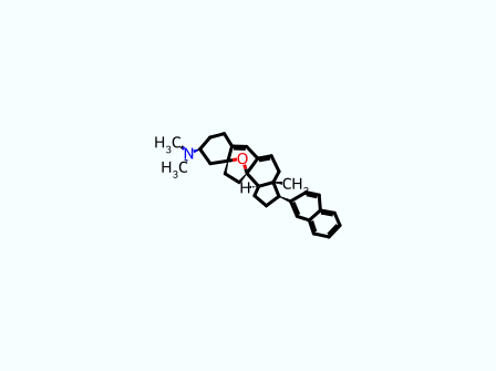 CN(C)[C@H]1CCC2=CC3=CC[C@]4(C)[C@@H](c5ccc6ccccc6c5)CC[C@H]4[C@@]34CC[C@]2(C1)O4